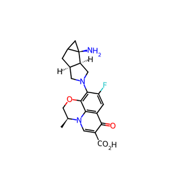 C[C@H]1COc2c(N3C[C@H]4CC5C[C@]5(N)[C@H]4C3)c(F)cc3c(=O)c(C(=O)O)cn1c23